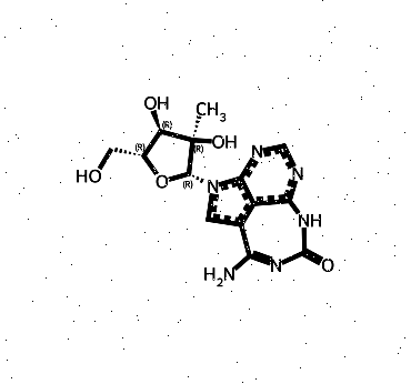 C[C@@]1(O)[C@H](O)[C@@H](CO)O[C@H]1n1cc2c3c(ncnc31)NC(=O)N=C2N